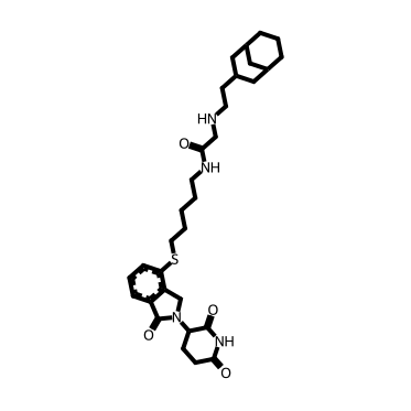 O=C(CNCCC1CC2CCCC(C2)C1)NCCCCCSc1cccc2c1CN(C1CCC(=O)NC1=O)C2=O